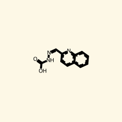 O=C(O)N/N=C\c1ccc2ccccc2n1